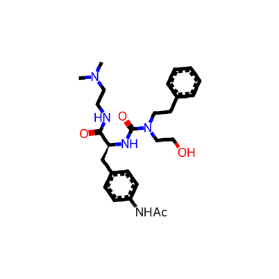 CC(=O)Nc1ccc(C[C@H](NC(=O)N(CCO)CCc2ccccc2)C(=O)NCCN(C)C)cc1